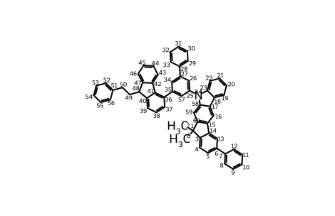 CC1(C)c2ccc(-c3ccccc3)cc2-c2cc3c4ccccc4n(-c4cc(-c5ccccc5)cc(-c5cccc6c5-c5ccccc5C6CCc5ccccc5)c4)c3cc21